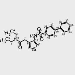 CCN(CC)C(=O)Cc1cscc1NS(=O)(=O)c1ccc(-c2ccccc2)cc1